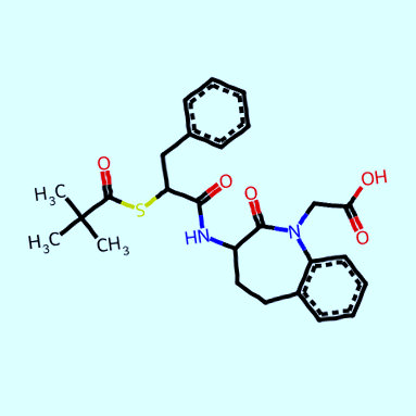 CC(C)(C)C(=O)SC(Cc1ccccc1)C(=O)NC1CCc2ccccc2N(CC(=O)O)C1=O